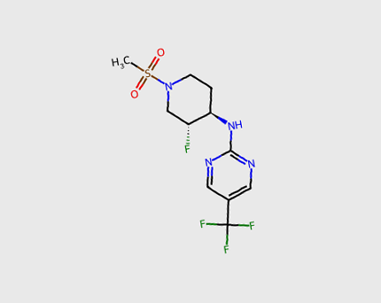 CS(=O)(=O)N1CC[C@@H](Nc2ncc(C(F)(F)F)cn2)[C@H](F)C1